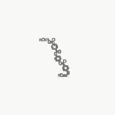 CCCCCCCCCCOc1ccc(C(=O)Oc2ccc(OC(=O)C3CCN(C(=O)OCCCCCCCC)CC3)cc2)cc1